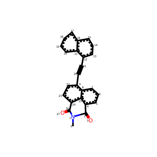 CN1C(=O)c2cccc3c(C#Cc4cccc5ccccc45)ccc(c23)C1=O